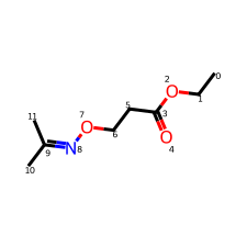 CCOC(=O)CCON=C(C)C